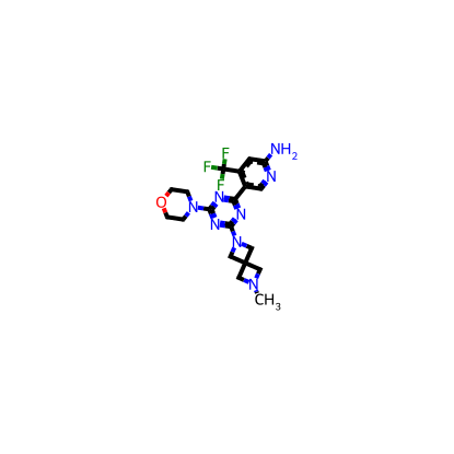 CN1CC2(C1)CN(c1nc(-c3cnc(N)cc3C(F)(F)F)nc(N3CCOCC3)n1)C2